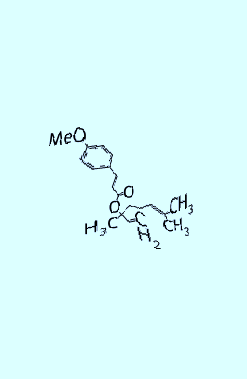 C=CC(C)(CCC=C(C)C)OC(=O)/C=C/c1ccc(OC)cc1